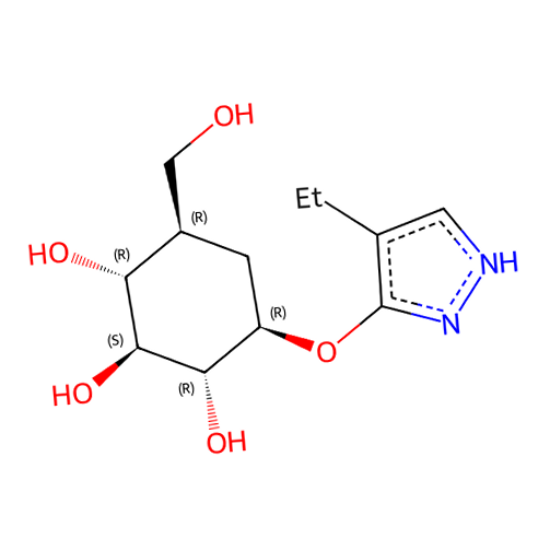 CCc1c[nH]nc1O[C@@H]1C[C@H](CO)[C@@H](O)[C@H](O)[C@H]1O